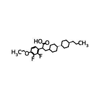 CCC[C@H]1CC[C@H](C2CCC(CC(C(=O)O)c3ccc(OCC)c(F)c3F)CC2)CC1